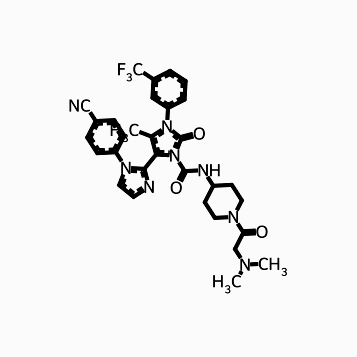 Cc1c(-c2nccn2-c2ccc(C#N)cc2)n(C(=O)NC2CCN(C(=O)CN(C)C)CC2)c(=O)n1-c1cccc(C(F)(F)F)c1